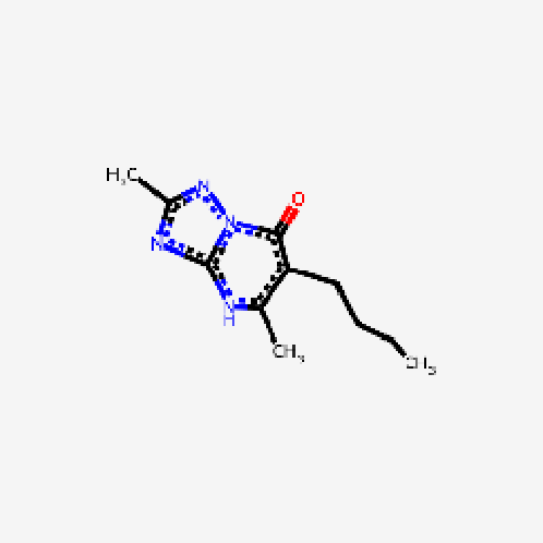 CCCCc1c(C)[nH]c2nc(C)nn2c1=O